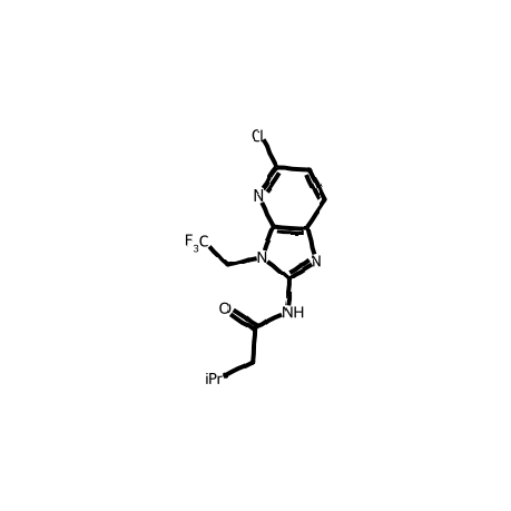 CC(C)CC(=O)Nc1nc2ccc(Cl)nc2n1CC(F)(F)F